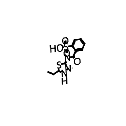 CCC1N[N]C(=NC(=O)c2ccccc2S(=O)(=O)O)S1